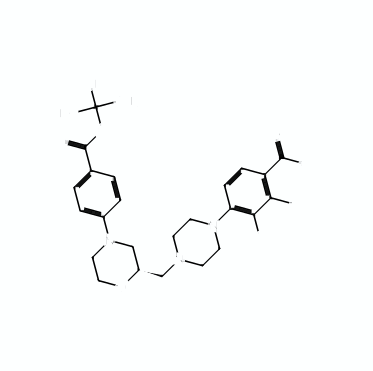 Cc1c(N2CCN(C[C@@H]3CN(c4ccc(C(=O)OC(C)(C)C)cc4)CCO3)CC2)ccc(C(=O)O)c1F